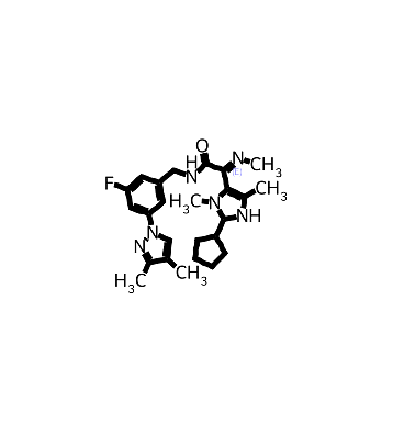 C/N=C(/C(=O)NCc1cc(F)cc(-n2cc(C)c(C)n2)c1)C1=C(C)NC(C2CCCC2)N1C